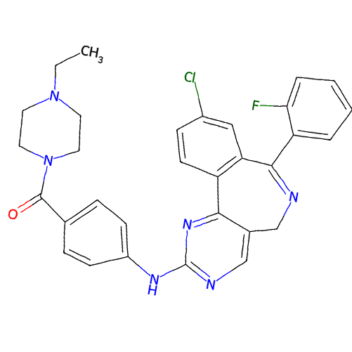 CCN1CCN(C(=O)c2ccc(Nc3ncc4c(n3)-c3ccc(Cl)cc3C(c3ccccc3F)=NC4)cc2)CC1